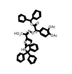 CC(=O)Oc1ccc([C@@H](O/N=C(/C(=O)O)c2csc(NC(c3ccccc3)(c3ccccc3)c3ccccc3)n2)C(=O)OC(c2ccccc2)c2ccccc2)cc1OC(C)=O